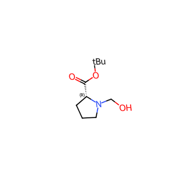 CC(C)(C)OC(=O)[C@H]1CCCN1CO